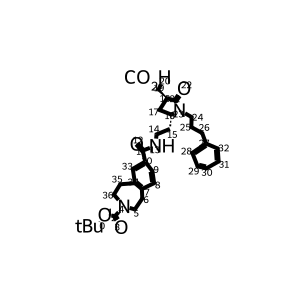 CC(C)(C)OC(=O)N1CCc2ccc(C(=O)NCC[C@@H]3C[C@@H](CC(=O)O)C(=O)N3CCCc3ccccc3)cc2CC1